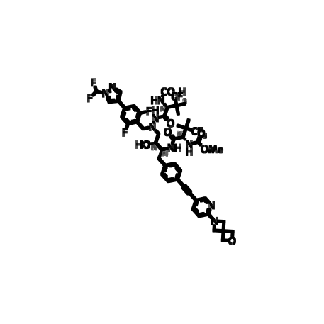 COC(=O)N[C@H](C(=O)N[C@@H](Cc1ccc(C#Cc2ccc(N3CC4(COC4)C3)nc2)cc1)[C@@H](O)CN(Cc1c(F)cc(-c2cnn(C(F)F)c2)cc1F)NC(=O)[C@@H](NC(=O)O)C(C)(C)C(F)(F)F)C(C)(C)C(F)(F)F